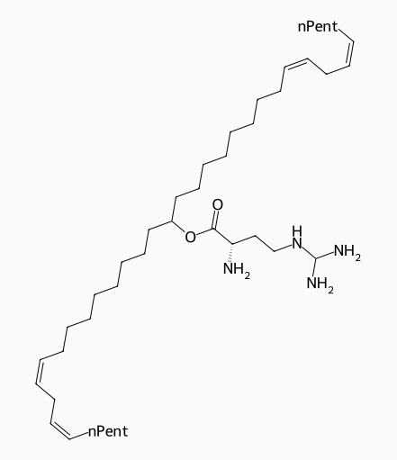 CCCCC/C=C\C/C=C\CCCCCCCCC(CCCCCCCC/C=C\C/C=C\CCCCC)OC(=O)[C@@H](N)CCNC(N)N